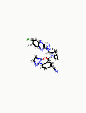 C[C@@H]1C2CC(C2)N(C(=O)c2cc(C#N)ccc2-n2nccn2)C1CNc1cnc2cc(F)ccc2n1